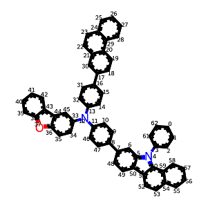 c1ccc(-n2c3cc(-c4ccc(N(c5ccc(-c6ccc7c(ccc8ccccc87)c6)cc5)c5ccc6oc7ccccc7c6c5)cc4)ccc3c3ccc4ccccc4c32)cc1